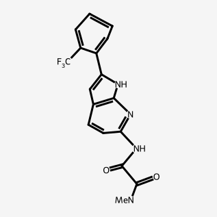 CNC(=O)C(=O)Nc1ccc2cc(-c3ccccc3C(F)(F)F)[nH]c2n1